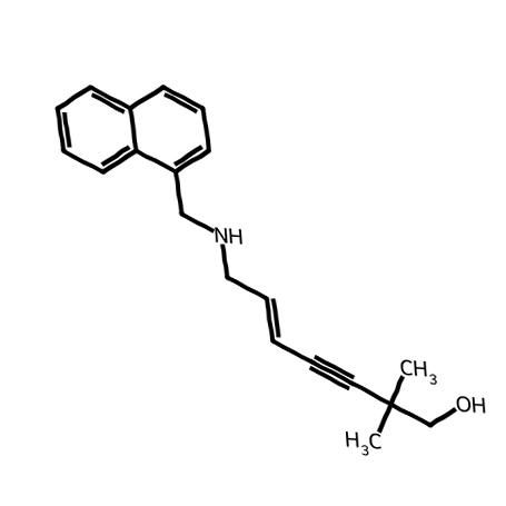 CC(C)(C#C/C=C/CNCc1cccc2ccccc12)CO